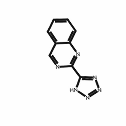 c1ccc2nc(-c3nnn[nH]3)ncc2c1